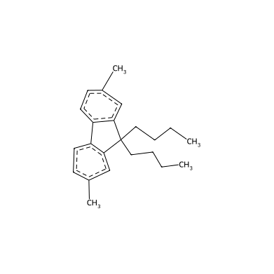 CCCCC1(CCCC)c2cc(C)ccc2-c2ccc(C)cc21